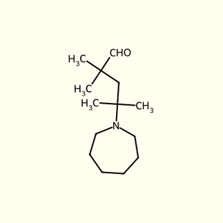 CC(C)(C=O)CC(C)(C)N1CCCCCC1